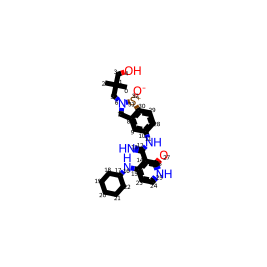 CC(C)(CO)CN1Cc2cc(NC(=N)c3c(NC4CCCCC4)cc[nH]c3=O)ccc2[S+]1[O-]